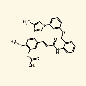 COc1ccc(/C=C/C(=O)Nc2ccccc2COc2cccc(-n3cnc(C)c3)c2)cc1OC(C)=O